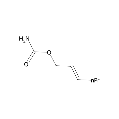 CCC/C=C/COC(N)=O